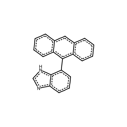 c1ccc2c(-c3cccc4nc[nH]c34)c3ccccc3cc2c1